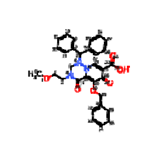 COCCN1CN(C(c2ccccc2)c2ccccc2)n2cc(C(=O)O)c(=O)c(OCc3ccccc3)c2C1=O